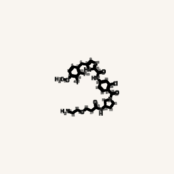 COc1ccc(Cc2cnc(C(=O)Nc3ccc(C(=O)N4CCC(NC(=O)CCOCCN)C4)c(Cl)c3)[nH]2)c(F)c1F